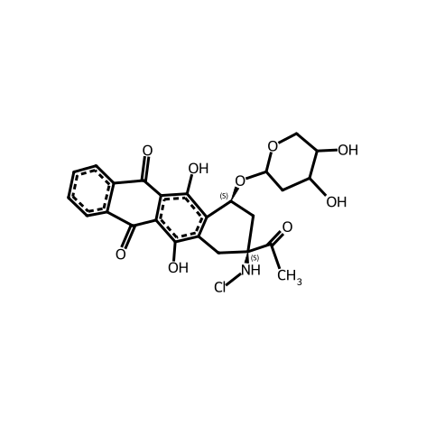 CC(=O)[C@]1(NCl)Cc2c(O)c3c(c(O)c2[C@@H](OC2CC(O)C(O)CO2)C1)C(=O)c1ccccc1C3=O